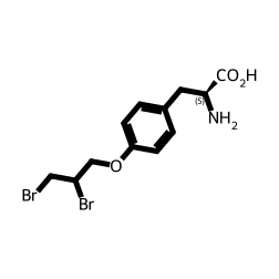 N[C@@H](Cc1ccc(OCC(Br)CBr)cc1)C(=O)O